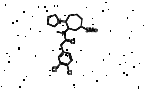 CSC1CCCC(N2CCCC2)C(N(C)C(=O)Cc2ccc(Cl)c(Cl)c2)C1